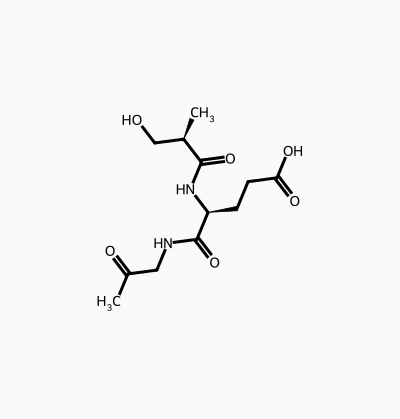 CC(=O)CNC(=O)[C@H](CCC(=O)O)NC(=O)[C@H](C)CO